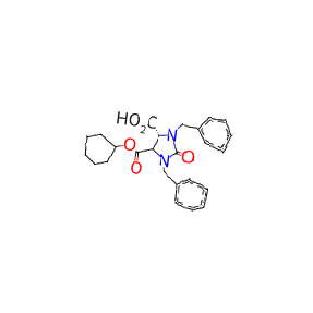 O=C(O)C1C(C(=O)OC2CCCCC2)N(Cc2ccccc2)C(=O)N1Cc1ccccc1